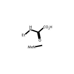 CCNC(=O)C(=O)O.CNC